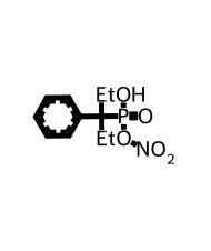 CCC(CC)(c1ccccc1)P(=O)(O)O[N+](=O)[O-]